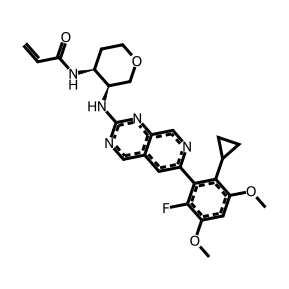 C=CC(=O)N[C@H]1CCOC[C@H]1Nc1ncc2cc(-c3c(F)c(OC)cc(OC)c3C3CC3)ncc2n1